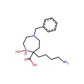 NCCCCC1(C(=O)O)CCN(Cc2ccccc2)CCP1(=O)O